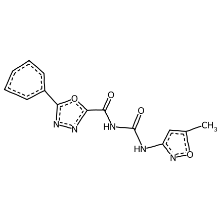 Cc1cc(NC(=O)NC(=O)c2nnc(-c3ccccc3)o2)no1